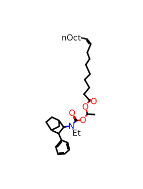 CCCCCCCC/C=C\CCCCCCCC(=O)OC(C)OC(=O)N(CC)C1C2CCC(C2)C1c1ccccc1